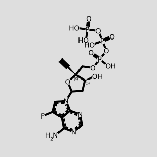 C#C[C@]1(COP(=O)(O)OP(=O)(O)OP(=O)(O)O)OC(n2cc(F)c3c(N)ncnc32)C[C@@H]1O